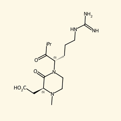 CC(C)C(=O)[C@H](CCCNC(=N)N)N1CCN(C)[C@@H](CC(=O)O)C1=O